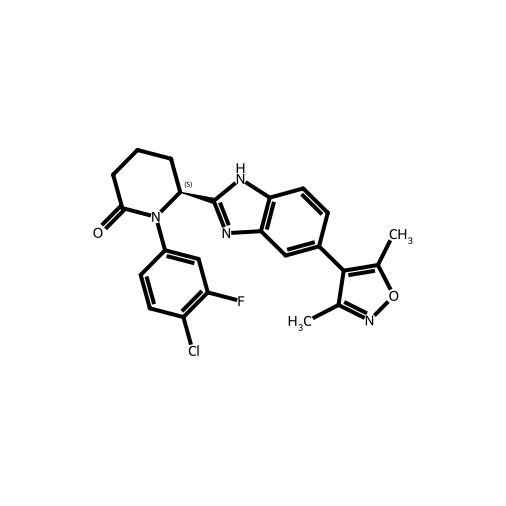 Cc1noc(C)c1-c1ccc2[nH]c([C@@H]3CCCC(=O)N3c3ccc(Cl)c(F)c3)nc2c1